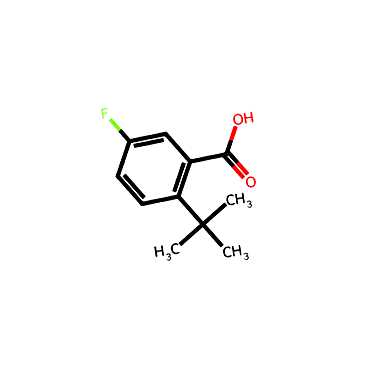 CC(C)(C)c1ccc(F)cc1C(=O)O